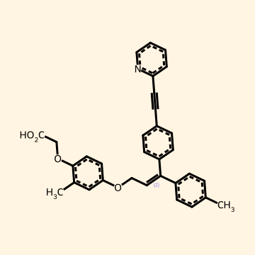 Cc1ccc(/C(=C/COc2ccc(OCC(=O)O)c(C)c2)c2ccc(C#Cc3ccccn3)cc2)cc1